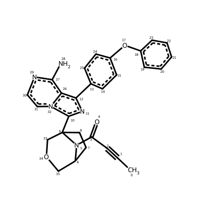 CC#CC(=O)N1C2CCC1(c1nc(-c3ccc(Oc4ccccc4)cc3)c3c(N)nccn13)COC2